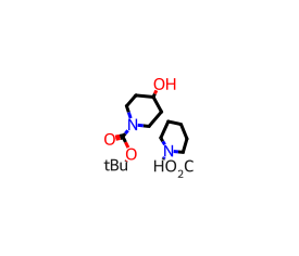 CC(C)(C)OC(=O)N1CCC(O)CC1.O=C(O)N1CCCCC1